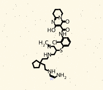 C=NCC(CNCCC1(CCN/C=C\N)CCCC1)Sc1cccc(NC(=O)c2c(O)nc3n(c2=O)CCCC3)c1Cl